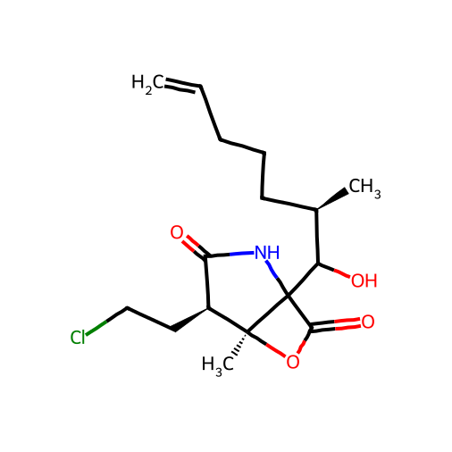 C=CCCC[C@@H](C)C(O)C12NC(=O)[C@H](CCCl)[C@]1(C)OC2=O